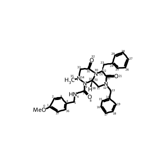 COc1ccc(CNC(=O)N2[C@H]3CN(Cc4ccccc4)C(=O)[C@H](Cc4ccccc4)N3C(=O)CN2C)cc1